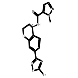 CCc1nc(-c2ccc3c(c2)OCC[C@H]3NC(=O)c2ccnn2C)no1